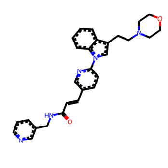 O=C(C=Cc1ccc(-n2cc(CCN3CCOCC3)c3ccccc32)nc1)NCc1cccnc1